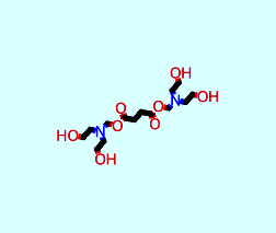 O=C(CCC(=O)OCN(CCO)CCO)OCN(CCO)CCO